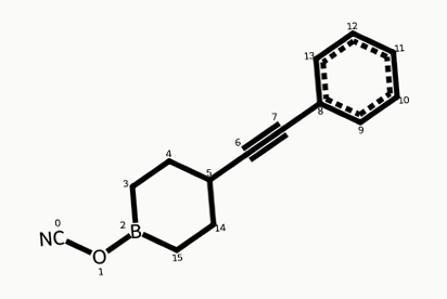 N#COB1CCC(C#Cc2ccccc2)CC1